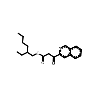 CCCCC(CC)COC(=O)CC(=O)c1cc2ccccc2cn1